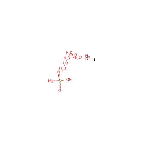 O.O.O.O.O.O.O.O=S(=O)(O)O.[Ti]